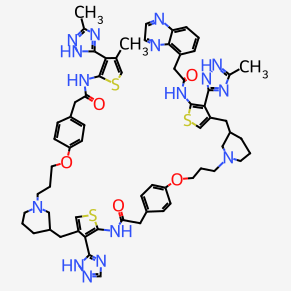 Cc1n[nH]c(-c2c(C)csc2NC(=O)Cc2ccc(OCCCN3CCCC(Cc4csc(NC(=O)Cc5ccc(OCCCN6CCCC(Cc7csc(NC(=O)Cc8cccc9nccnc89)c7-c7nc(C)n[nH]7)C6)cc5)c4-c4ncn[nH]4)C3)cc2)n1